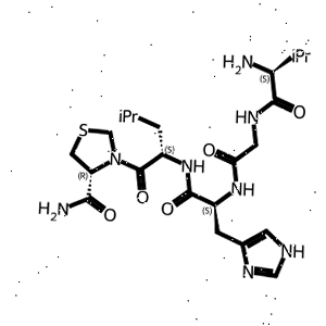 CC(C)C[C@H](NC(=O)[C@H](Cc1c[nH]cn1)NC(=O)CNC(=O)[C@@H](N)C(C)C)C(=O)N1CSC[C@H]1C(N)=O